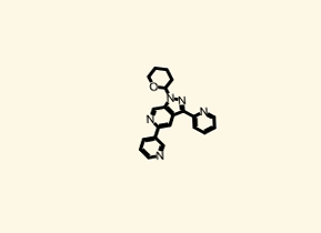 c1ccc(-c2nn(C3CCCCO3)c3cnc(-c4cccnc4)cc23)nc1